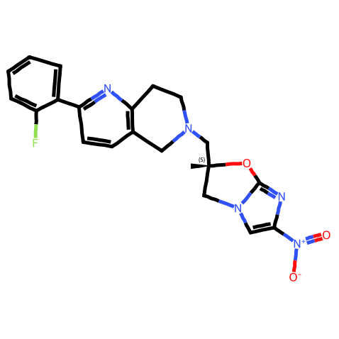 C[C@]1(CN2CCc3nc(-c4ccccc4F)ccc3C2)Cn2cc([N+](=O)[O-])nc2O1